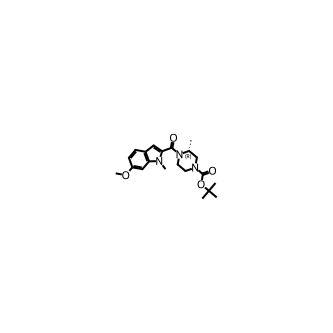 COc1ccc2cc(C(=O)N3CCN(C(=O)OC(C)(C)C)C[C@H]3C)n(C)c2c1